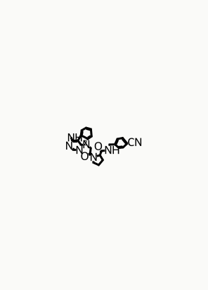 N#Cc1ccc(CNC(=O)C2CCCN2C(=O)Cn2c3ccccc3c3c(N)ncnc32)cc1